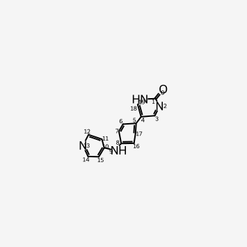 O=c1ncc(-c2ccc(Nc3ccncc3)cc2)c[nH]1